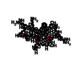 CC(C)C[C@H](NC(=O)[C@H](CO)NC(=O)CNC(=O)[C@H](Cc1c[nH]cn1)NC(=O)[C@H](CCCNC(=N)N)NC(=O)[C@@H]1CCCN1C(=O)[C@H](C)NC(=O)[C@H](CO)NC(=O)[C@H](Cc1ccccc1)NC(=O)[C@H](CCCCN)NC(=O)[C@H](CCCNC(=N)N)NC(=O)[C@H](Cc1c[nH]cn1)NC(=O)[C@@H](N)CO)C(=O)NCC(=O)N[C@@H](Cc1ccccc1)C(=O)N[C@@H](CC(C)C)C(=O)N1CCC[C@H]1C(=O)N[C@@H](CCCNC(=N)N)C(=O)O